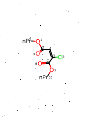 CCCOC(=O)/C=C(/Cl)C(=O)OCCC